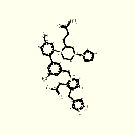 NC(=O)CCC1CN(n2cccc2)CCN1c1cc(O)ccc1-c1cc(O)cc(Cn2cnc(Cc3cn[nH]c3)c2CC(N)=O)c1